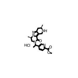 COC(=O)c1ccc(C(C)N2C[C@@H](C)n3nc4c(c3C2=O)CN[C@H](C)C4)cn1.Cl